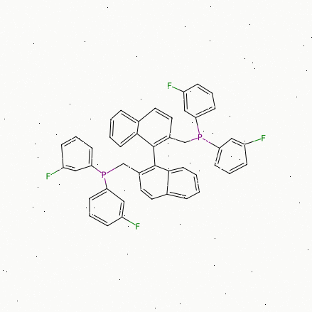 Fc1cccc(P(Cc2ccc3ccccc3c2-c2c(CP(c3cccc(F)c3)c3cccc(F)c3)ccc3ccccc23)c2cccc(F)c2)c1